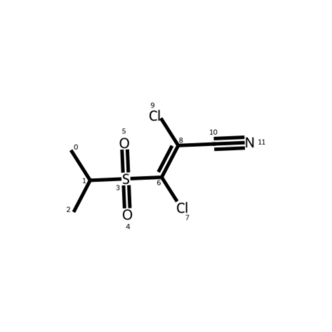 CC(C)S(=O)(=O)C(Cl)=C(Cl)C#N